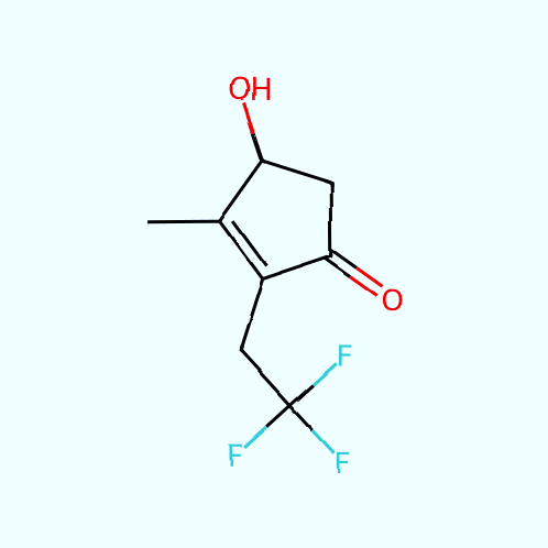 CC1=C(CC(F)(F)F)C(=O)CC1O